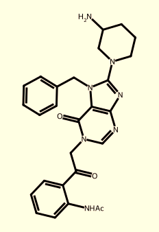 CC(=O)Nc1ccccc1C(=O)Cn1cnc2nc(N3CCCC(N)C3)n(Cc3ccccc3)c2c1=O